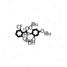 CCC(C)Oc1cc(OC(C)CC)c(PC(=O)c2c(C(F)(F)F)cccc2C(F)(F)F)c(OC(C)CC)c1.[LiH]